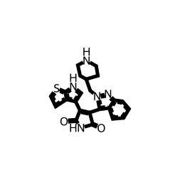 O=C1NC(=O)C(c2c3ccccc3nn2CC2CCNCC2)=C1c1c[nH]c2sccc12